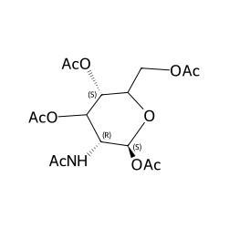 CC(=O)N[C@@H]1C(OC(C)=O)[C@H](OC(C)=O)C(COC(C)=O)O[C@H]1OC(C)=O